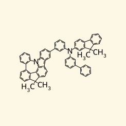 CC1(C)c2ccccc2-c2ccc(N(c3cccc(-c4ccccc4)c3)c3cccc(-c4ccc5c(c4)c4ccc6c7c4n5-c4ccccc4-c4cccc(c4-7)C6(C)C)c3)cc21